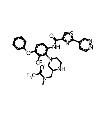 CN(C[C@H]1CN(c2c(NC(=O)c3csc(-c4ccnnc4)n3)ccc(Oc3ccccc3)c2C(F)(F)F)CCN1)C(=O)C(F)(F)F